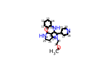 COCCn1c2c(c(Nc3ccccc3)c1-c1ccncc1)C(=O)NCC2